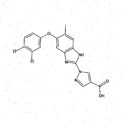 Cc1cc2[nH]c(-n3cc(C(=O)O)cn3)nc2cc1Oc1ccc(Cl)c(Cl)c1